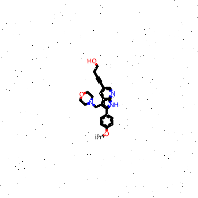 CC(C)Oc1ccc(-c2[nH]c3ncc(C#CCCO)cc3c2CN2CCOCC2)cc1